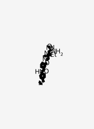 CCn1c(-c2nonc2N)nc2cnc(Oc3cccc(C(=O)Nc4ccc(CN(C)C)cc4)c3)cc21